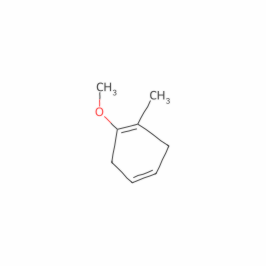 COC1=C(C)CC=CC1